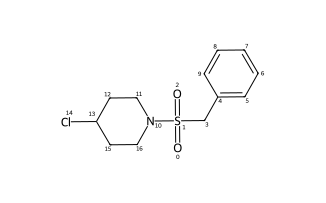 O=S(=O)(Cc1ccccc1)N1CCC(Cl)CC1